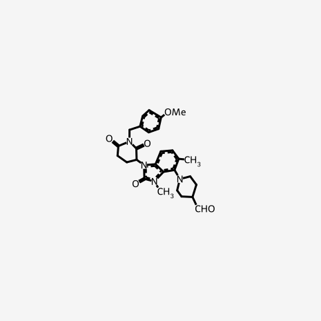 COc1ccc(CN2C(=O)CCC(n3c(=O)n(C)c4c(N5CCC(C=O)CC5)c(C)ccc43)C2=O)cc1